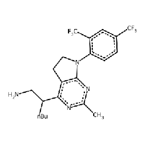 CCCCC(CN)c1nc(C)nc2c1CCN2c1ccc(C(F)(F)F)cc1C(F)(F)F